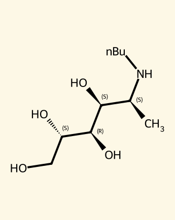 CCCCN[C@@H](C)[C@H](O)[C@@H](O)[C@@H](O)CO